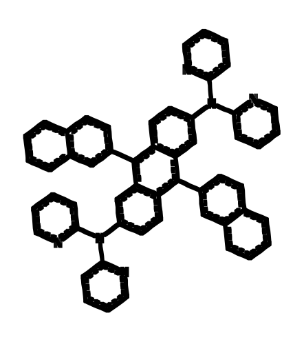 c1ccc(N(c2ccc3c(-c4ccc5ccccc5c4)c4cc(N(c5ccccn5)c5ccccn5)ccc4c(-c4ccc5ccccc5c4)c3c2)c2ccccn2)nc1